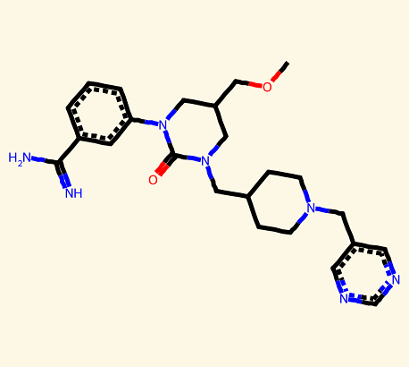 COCC1CN(CC2CCN(Cc3cncnc3)CC2)C(=O)N(c2cccc(C(=N)N)c2)C1